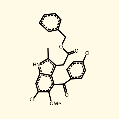 COc1c(Cl)cc2[nH]c(C)c(CC(=O)OCc3ccccc3)c2c1C(=O)c1ccc(Cl)cc1